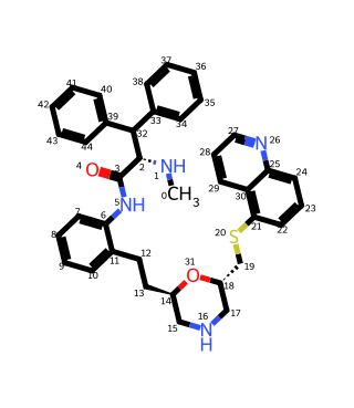 CN[C@H](C(=O)Nc1ccccc1CC[C@@H]1CNC[C@@H](CSc2cccc3ncccc23)O1)C(c1ccccc1)c1ccccc1